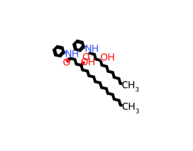 CCCCCCCCC(O)CCC(=O)Nc1ccccc1.CCCCCCCCCCCCCCC(O)CCC(=O)Nc1ccccc1